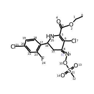 CCOC(=O)C1=C(Cl)/C(=N/OS(C)(=O)=O)CC(c2ccc(Cl)cc2F)N1